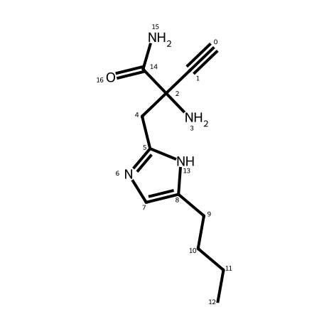 C#CC(N)(Cc1ncc(CCCC)[nH]1)C(N)=O